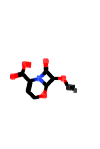 COC1C(=O)N2C(C(=O)O)=CCOC12